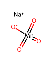 [Na+].[O]=[Mn](=[O])(=[O])[O-]